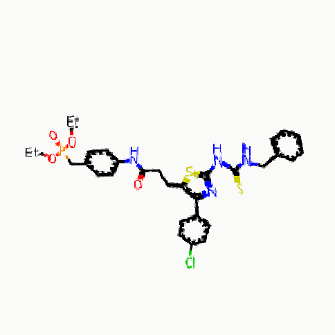 CCOP(=O)(Cc1ccc(NC(=O)CCc2sc(NC(=S)NCc3ccccc3)nc2-c2ccc(Cl)cc2)cc1)OCC